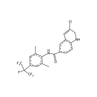 Cc1cc(C(F)(C(F)(F)F)C(F)(F)F)cc(C)c1NC(=O)c1ccc2c(c1)C=C(Cl)CN2